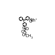 CC(=O)CC(=O)C(=O)[O-].[C]=O.[Rh+].c1ccc(P(c2ccccc2)c2ccccc2)cc1